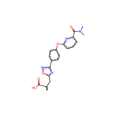 C=C(Cc1nc(-c2ccc(Oc3cccc(C(=O)N(C)C)n3)cc2)no1)C(=O)O